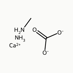 CN.N.O=C([O-])[O-].[Ca+2]